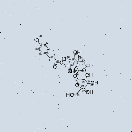 COc1ccc(/C=C/C(=O)OC[C@@]2(O)[C@H]3[C@H](O[C@@H]4O[C@H](CO)[C@@H](O)[C@H](O)[C@H]4O)OC=C[C@H]3[C@H](O)[C@H]2Cl)cc1